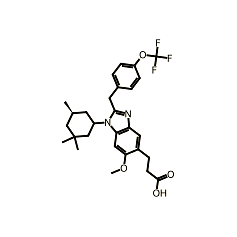 COc1cc2c(cc1CCC(=O)O)nc(Cc1ccc(OC(F)(F)F)cc1)n2C1C[C@H](C)CC(C)(C)C1